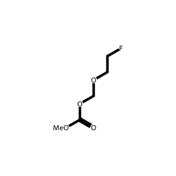 COC(=O)OCOCCF